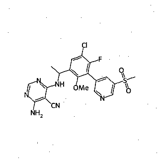 COc1c(C(C)Nc2ncnc(N)c2C#N)cc(Cl)c(F)c1-c1cncc(S(C)(=O)=O)c1